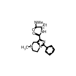 CC[C@H](NC(=O)c1nc(-c2ccccc2)n2c1CN(C)CC2)C(=O)NC